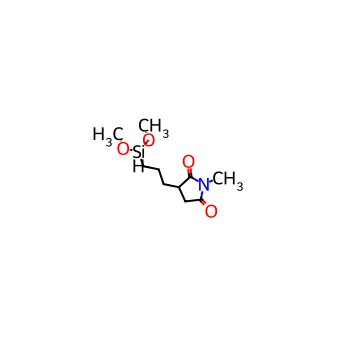 CO[SiH](CCCC1CC(=O)N(C)C1=O)OC